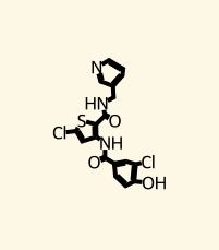 O=C(Nc1cc(Cl)sc1C(=O)NCc1cccnc1)c1ccc(O)c(Cl)c1